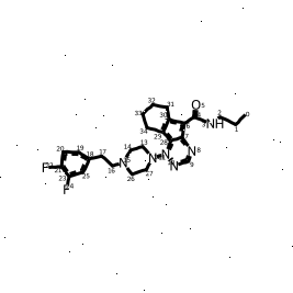 CCCNC(=O)c1c2ncnn(N3CCN(CCc4ccc(F)c(F)c4)CC3)c-2c2c1CCCC2